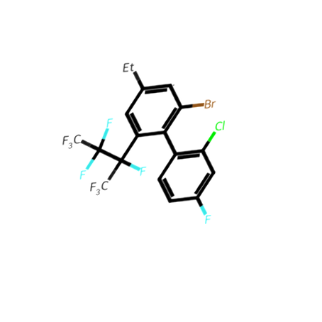 CCc1[c]c(Br)c(-c2ccc(F)cc2Cl)c(C(F)(C(F)(F)F)C(F)(F)C(F)(F)F)c1